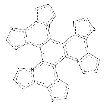 c1cc2c3sccc3c3c(c4c5ccsc5c5cccn5c4c4c5ccsc5c5cccn5c34)n2c1